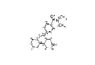 CN(C)C(=O)c1ccc(OCc2ccccc2C2CCNCC2)cc1